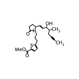 CC#CC[C@H](C)[C@H](O)C=CC1CCC(=O)N1CCCc1ccc(C(=O)OC)s1